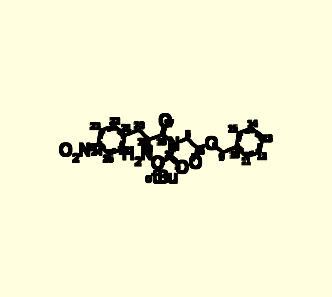 CC(C)(C)OC(=O)N(CC(=O)OCc1ccccc1)C(=O)[C@@H](N)Cc1ccc([N+](=O)[O-])cc1